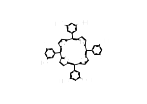 Oc1cc(O)cc(C2=C3C=CC(=N3)C(c3cc(O)cc(O)c3)=C3C=CC(=N3)C(c3cc(O)cc(O)c3)=C3C=CC(=N3)C(c3cc(O)cc(O)c3)=C3C=CC2=N3)c1